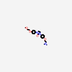 COCCOc1ccc(-n2ccn(-c3ccc(OCCN(C)C)cc3)c2=O)cc1